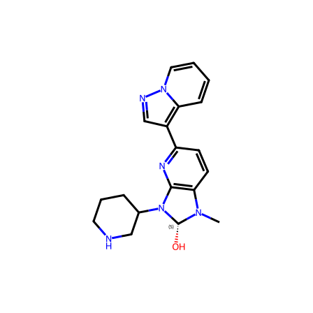 CN1c2ccc(-c3cnn4ccccc34)nc2N(C2CCCNC2)[C@H]1O